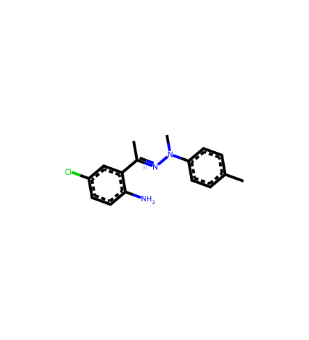 C/C(=N\N(C)c1ccc(C)cc1)c1cc(Cl)ccc1N